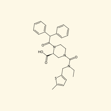 CCN(Cc1ccc(C)s1)C(=O)N1CCN(C(=O)C(c2ccccc2)c2ccccc2)[C@H](C(=O)O)C1